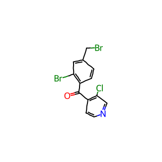 O=C(c1ccncc1Cl)c1ccc(CBr)cc1Br